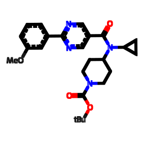 COc1cccc(-c2ncc(C(=O)N(C3CC3)C3CCN(C(=O)OC(C)(C)C)CC3)cn2)c1